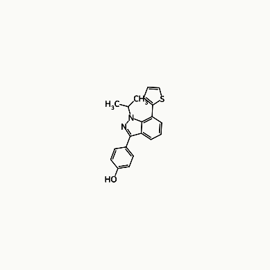 CC(C)n1nc(-c2ccc(O)cc2)c2cccc(-c3cccs3)c21